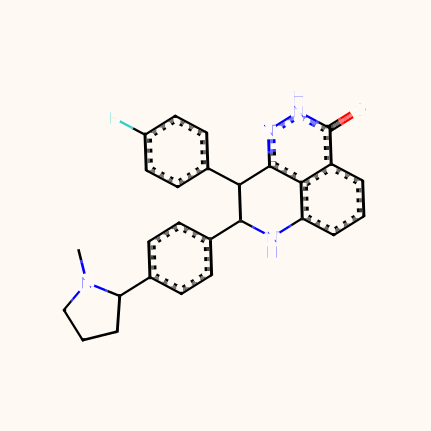 CN1CCCC1c1ccc(C2Nc3cccc4c(=O)[nH]nc(c34)C2c2ccc(F)cc2)cc1